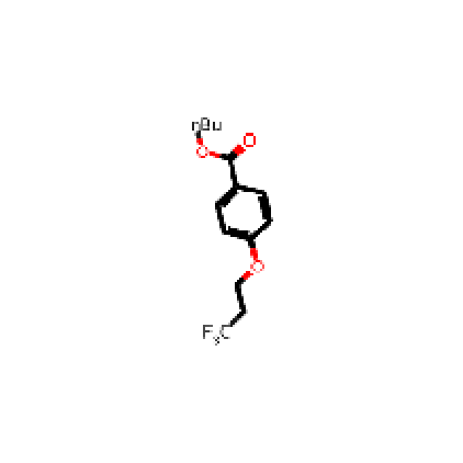 CCCCOC(=O)c1ccc(OCCC(F)(F)F)cc1